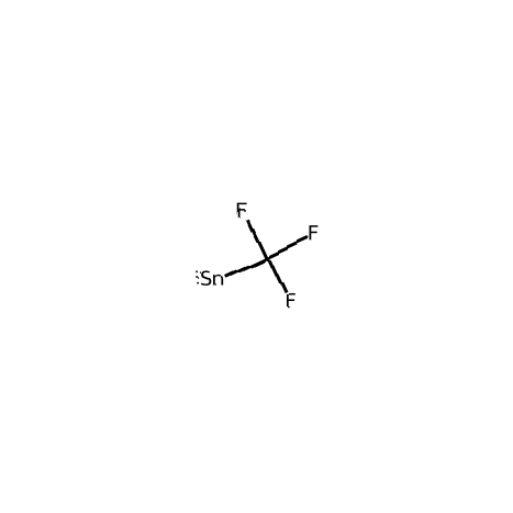 F[C](F)(F)[Sn]